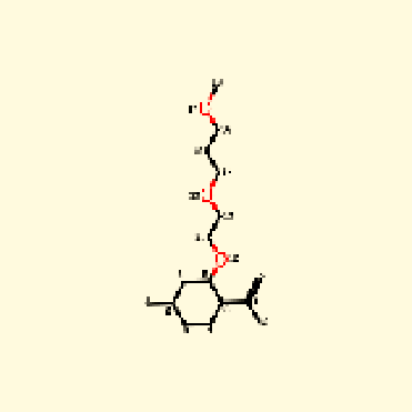 C=C(C)C1CCC(C)CC1OCCOCCCOC